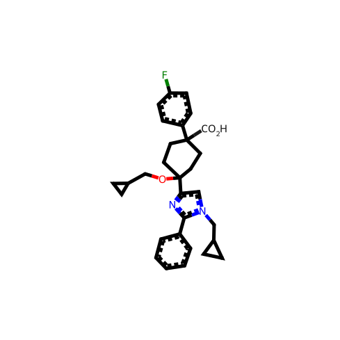 O=C(O)C1(c2ccc(F)cc2)CCC(OCC2CC2)(c2cn(CC3CC3)c(-c3ccccc3)n2)CC1